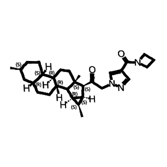 C[C@H]1CC[C@H]2[C@H](CC[C@H]3C4[C@@H]5[C@H](C)[C@@H]5[C@H](C(=O)Cn5cc(C(=O)N6CCC6)cn5)[C@@]4(C)CC[C@H]23)C1